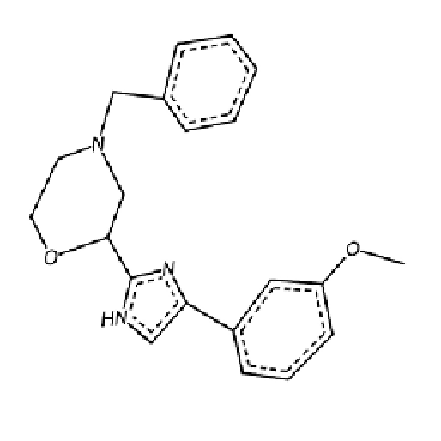 COc1cccc(-c2c[nH]c(C3CN(Cc4ccccc4)CCO3)n2)c1